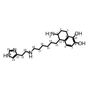 NC1CCc2c(ccc(O)c2O)C1CCCCCCNCCc1c[nH]cn1